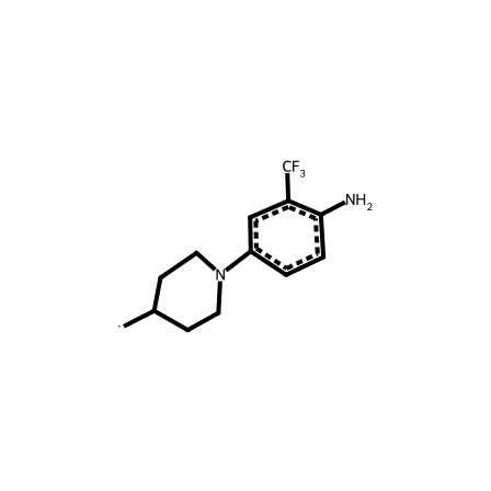 [CH2]C1CCN(c2ccc(N)c(C(F)(F)F)c2)CC1